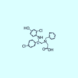 O=C(O)CN(Cc1ccccc1)C[C@H](Nc1ccc(O)cc1Cl)c1ccc(Cl)cc1